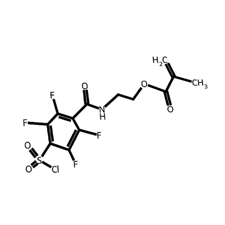 C=C(C)C(=O)OCCNC(=O)c1c(F)c(F)c(S(=O)(=O)Cl)c(F)c1F